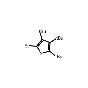 CCc1sc(C(C)(C)C)c(C(C)(C)C)c1C(C)(C)C